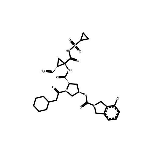 C=C[C@@H]1C[C@]1(NC(=O)[C@@H]1C[C@@H](OC(=O)N2Cc3cccc(Cl)c3C2)CN1C(=O)CC1CCCCC1)C(=O)NS(=O)(=O)C1CC1